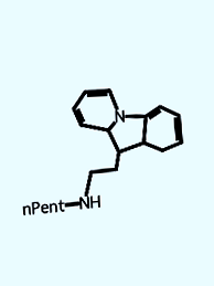 CCCCCNCCC1C2CC=CC=C2N2C=CC=CC12